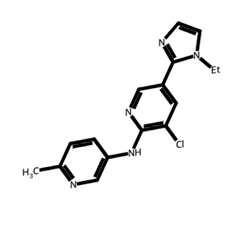 CCn1ccnc1-c1cnc(Nc2ccc(C)nc2)c(Cl)c1